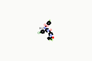 CN(C(=O)Oc1ccc(F)cc1)[C@@H]1CN(C(=O)C2CCN(C(=O)C3(C(F)(F)F)CCC3)CC2)C[C@H]1c1ccc(Cl)cc1